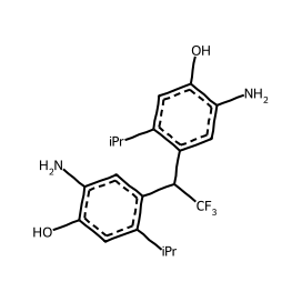 CC(C)c1cc(O)c(N)cc1C(c1cc(N)c(O)cc1C(C)C)C(F)(F)F